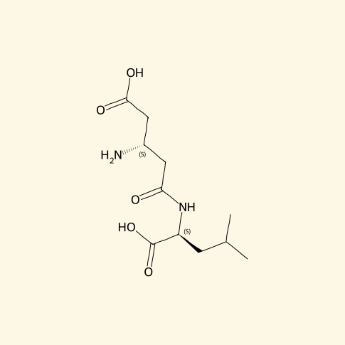 CC(C)C[C@H](NC(=O)C[C@H](N)CC(=O)O)C(=O)O